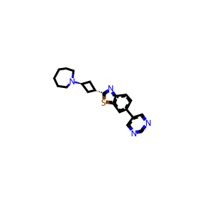 c1ncc(-c2ccc3nc([C@H]4C[C@H](N5CCCCCC5)C4)sc3c2)cn1